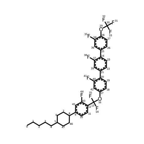 CCCCCC1CCC(c2ccc(C(F)(F)Oc3ccc(-c4ccc(-c5ccc(OC(F)(F)F)c(F)c5)c(F)c4)c(F)c3)c(F)c2)CC1